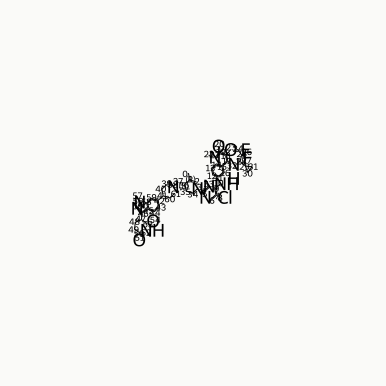 C[C@H]1CN(c2ncc(Cl)c(Nc3ccc4c(c3)c3c(c(=O)n4C)OCC(F)(F)C(C4CC4)N3)n2)CC[C@@H]1CN1CCC(c2ccc3c(C4CCC(=O)NC4=O)nn(C)c3c2)CC1